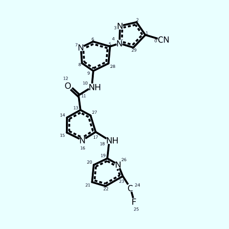 N#Cc1cnn(-c2cncc(NC(=O)c3ccnc(Nc4cccc(CF)n4)c3)c2)c1